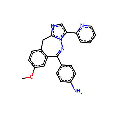 COc1ccc2c(c1)C(c1ccc(N)cc1)=Nn1c(-c3ccccn3)cnc1C2